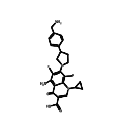 NCc1ccc(C2CCN(c3c(F)c(N)c4c(=O)c(C(=O)O)cn(C5CC5)c4c3F)C2)cc1